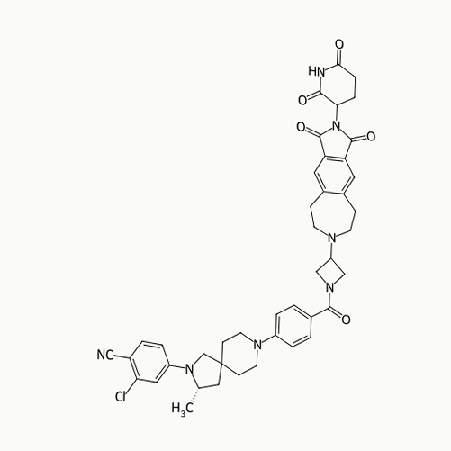 C[C@H]1CC2(CCN(c3ccc(C(=O)N4CC(N5CCc6cc7c(cc6CC5)C(=O)N(C5CCC(=O)NC5=O)C7=O)C4)cc3)CC2)CN1c1ccc(C#N)c(Cl)c1